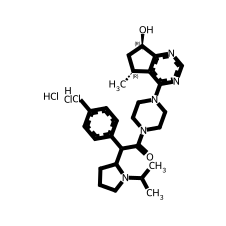 CC(C)N1CCCC1C(C(=O)N1CCN(c2ncnc3c2[C@H](C)C[C@H]3O)CC1)c1ccc(Cl)cc1.Cl.Cl